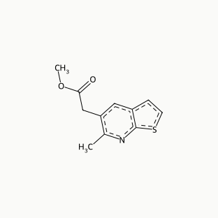 COC(=O)Cc1cc2ccsc2nc1C